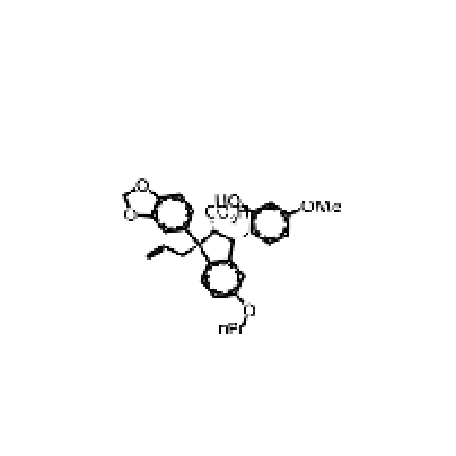 C=CC[C@]1(c2ccc3c(c2)OCO3)c2ccc(OCCC)cc2[C@@H](c2ccc(OC)cc2O)[C@H]1C(=O)O